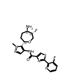 Cn1ncc(NC(=O)c2csc(-c3ncccc3F)n2)c1[C@@H]1CC[C@@H](N)[C@H](F)CO1